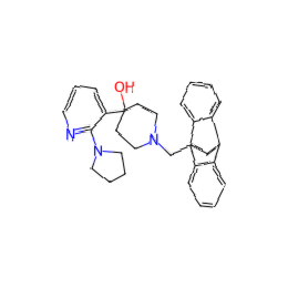 OC1(c2cccnc2N2CCCC2)CCN(CC23CC(c4ccccc42)c2ccccc23)CC1